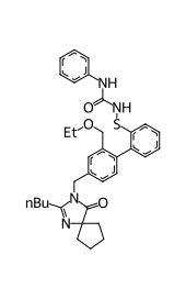 CCCCC1=NC2(CCCC2)C(=O)N1Cc1ccc(-c2ccccc2SNC(=O)Nc2ccccc2)c(COCC)c1